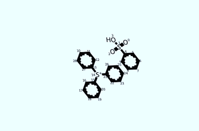 O=S(=O)(O)c1ccccc1.c1ccc([S+](c2ccccc2)c2ccccc2)cc1